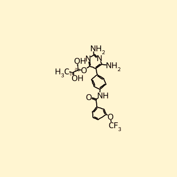 C[C@H](O)[C@@H](O)Oc1nc(N)nc(N)c1-c1ccc(NC(=O)c2cccc(OC(F)(F)F)c2)cc1